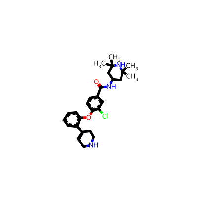 CC1(C)CC(NC(=O)c2ccc(Oc3ccccc3C3=CCNCC3)c(Cl)c2)CC(C)(C)N1